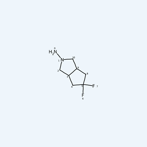 NN1CC2CC(F)(F)CC2C1